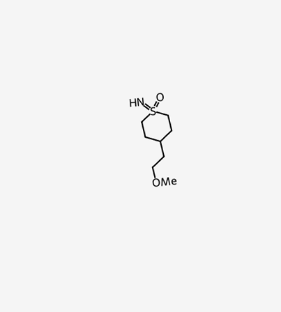 COCCC1CCS(=N)(=O)CC1